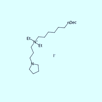 CCCCCCCCCCCCCCCC[N+](CC)(CC)CCCN1CCCC1.[I-]